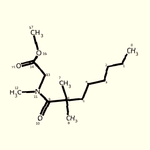 CCCCCCC(C)(C)C(=O)N(C)CC(=O)OC